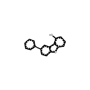 Oc1cccc2oc3ccc(-c4ccccc4)cc3c12